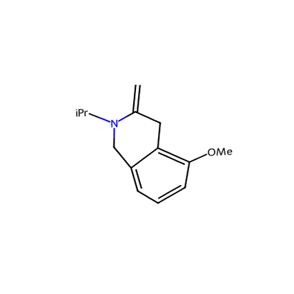 C=C1Cc2c(cccc2OC)CN1C(C)C